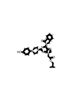 CC(C)COC(=O)Cn1cnc2c(N3Cc4ccccc4C3=O)nc(N3CCN(c4ccc(O)cc4)CC3)nc21